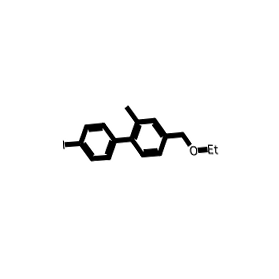 CCOCc1ccc(-c2ccc(I)cc2)c(C)c1